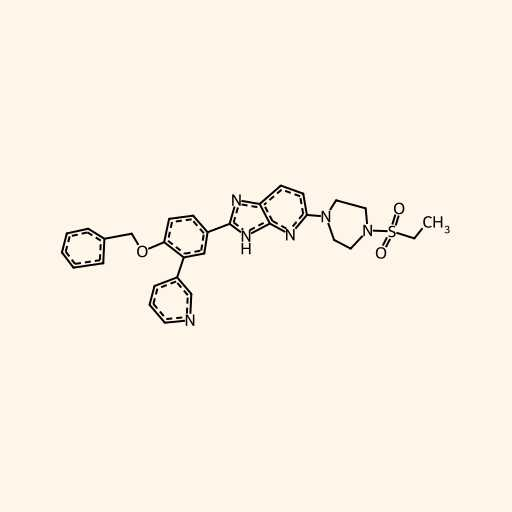 CCS(=O)(=O)N1CCN(c2ccc3nc(-c4ccc(OCc5ccccc5)c(-c5cccnc5)c4)[nH]c3n2)CC1